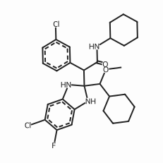 COC(C1CCCCC1)C1(C(C(=O)NC2CCCCC2)c2cccc(Cl)c2)Nc2cc(F)c(Cl)cc2N1